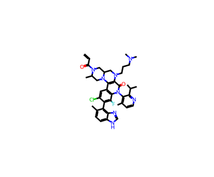 C=CC(=O)N1CC2CN(CCCN(C)C)c3c(c4cc(Cl)c(-c5c(C)ccc6[nH]cnc56)c(F)c4n(-c4c(C)ccnc4C(C)C)c3=O)N2CC1C